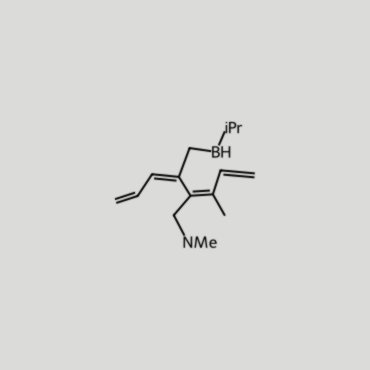 C=C/C=C(CBC(C)C)\C(CNC)=C(\C)C=C